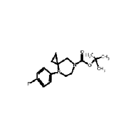 CC(C)(C)OC(=O)N1CCN(c2ccc(F)cc2)C2(CC2)C1